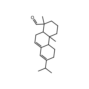 CC(C)C1=CC2=CCC3C(C)(C=O)CCCC3(C)C2CC1